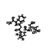 NC(=O)c1nn(CC(=O)N2[C@@H]3C[C@@H]3C[C@H]2C(=O)N[C@@H](CO)[C@H]2CC2(Cl)Cl)c2ccccc12